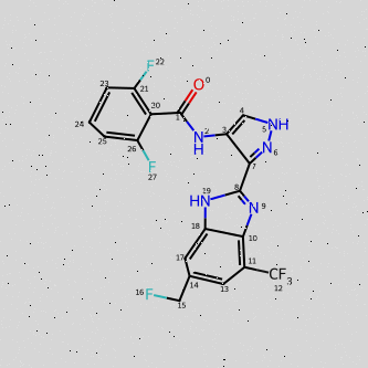 O=C(Nc1c[nH]nc1-c1nc2c(C(F)(F)F)cc(CF)cc2[nH]1)c1c(F)cccc1F